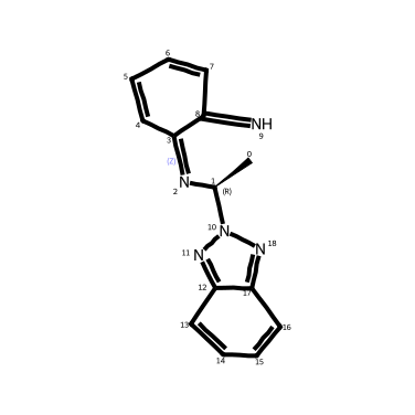 C[C@H](/N=C1/C=CC=CC1=N)n1nc2ccccc2n1